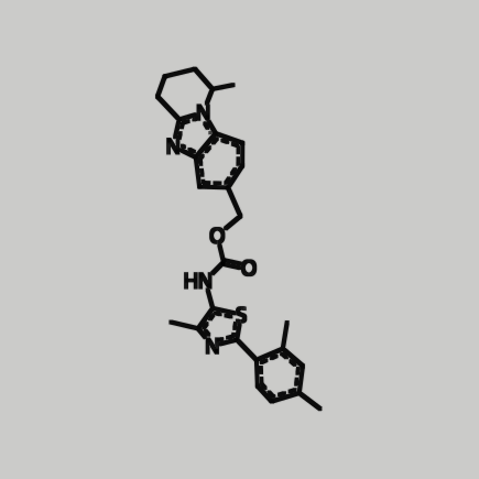 Cc1ccc(-c2nc(C)c(NC(=O)OCc3ccc4c(c3)nc3n4C(C)CCC3)s2)c(C)c1